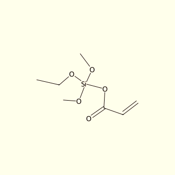 C=CC(=O)O[Si](OC)(OC)OCC